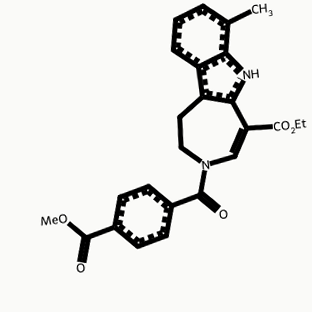 CCOC(=O)C1=CN(C(=O)c2ccc(C(=O)OC)cc2)CCc2c1[nH]c1c(C)cccc21